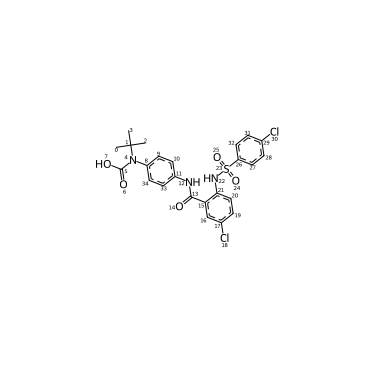 CC(C)(C)N(C(=O)O)c1ccc(NC(=O)c2cc(Cl)ccc2NS(=O)(=O)c2ccc(Cl)cc2)cc1